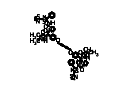 CN[C@@H](C)C(=O)N[C@H](C(=O)N1CCC[C@H]1C(=O)Nc1sc(-c2nccs2)nc1-c1ccccc1)c1ccc(OCC#CC#CCOc2ccc([C@H](NC(=O)[C@H](C)NC)C(=O)N3CCC[C@H]3C(=O)Nc3sc(-c4nccs4)nc3-c3ccccc3)cc2)cc1